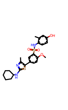 COc1ccc(-c2sc(NC3CCCCC3)nc2C)cc1S(=O)(=O)Nc1ccc(O)cc1C